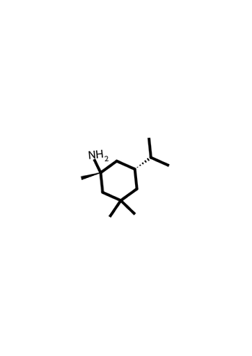 CC(C)[C@@H]1CC(C)(C)C[C@](C)(N)C1